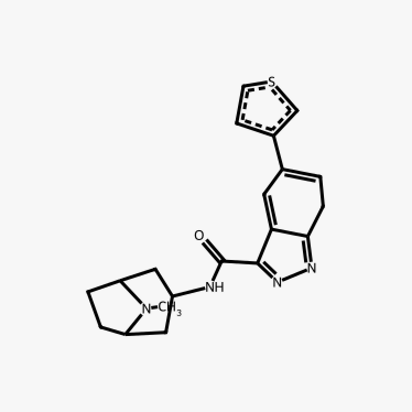 CN1C2CCC1CC(NC(=O)C1=NN=C3CC=C(c4ccsc4)C=C31)C2